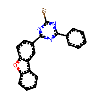 Brc1nc(-c2ccccc2)nc(-c2ccc3oc4ccccc4c3c2)n1